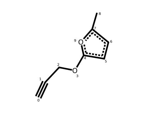 C#CCOc1ccc(C)o1